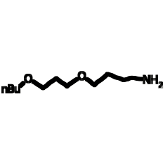 CCCCOCCCOCCCCN